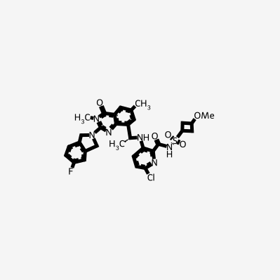 COC1CC(S(=O)(=O)NC(=O)c2nc(Cl)ccc2N[C@H](C)c2cc(C)cc3c(=O)n(C)c(N4Cc5ccc(F)cc5C4)nc23)C1